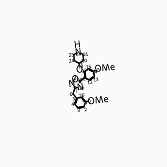 COc1cccc(Cc2noc(-c3ccc(OC)cc3OC3CCNCC3)n2)c1